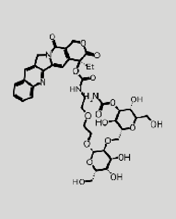 CC[C@@]1(OC(=O)NCCOCCO[C@H]2O[C@@H](CO)[C@@H](O)[C@H](O)[C@@H]2OC[C@H]2O[C@H](CO)[C@@H](O)[C@H](OC(N)=O)[C@@H]2O)C(=O)OCc2c1cc1n(c2=O)Cc2cc3ccccc3nc2-1